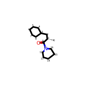 C[C@@H](CC1CCCCC1)C(=O)N1CCCCC1